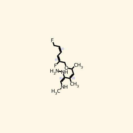 CN/C=C(NN)\C(C)=C/C(C)OC/C(F)=C\C=C/CF